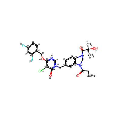 CNCC(=O)N1CN(C(=O)C(C)(C)O)c2ccc(Cn3cnc(OCc4ccc(F)cc4F)c(Cl)c3=O)cc21